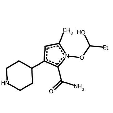 CCC(O)On1c(C)cc(C2CCNCC2)c1C(N)=O